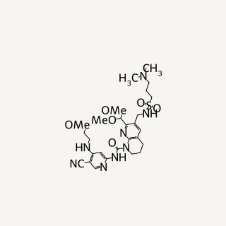 COCCNc1cc(NC(=O)N2CCCc3cc(CNS(=O)(=O)CCCN(C)C)c(C(OC)OC)nc32)ncc1C#N